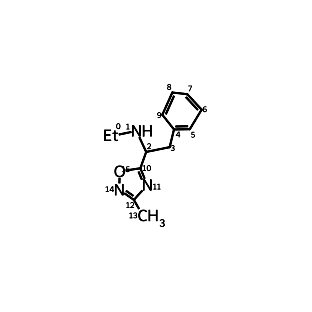 CCNC(Cc1ccccc1)c1nc(C)no1